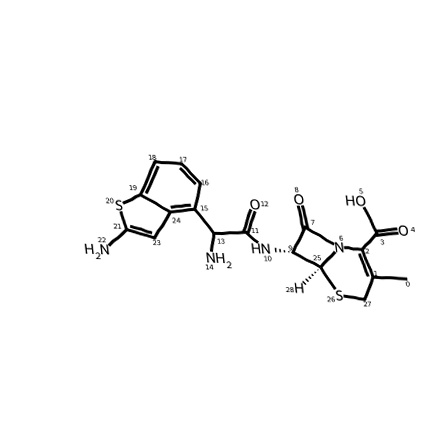 CC1=C(C(=O)O)N2C(=O)[C@@H](NC(=O)C(N)c3cccc4sc(N)cc34)[C@@H]2SC1